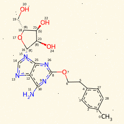 Cc1ccc(CCOc2nc(N)c3ncn([C@@H]4O[C@H](CO)[C@@H](O)[C@H]4O)c3n2)cc1